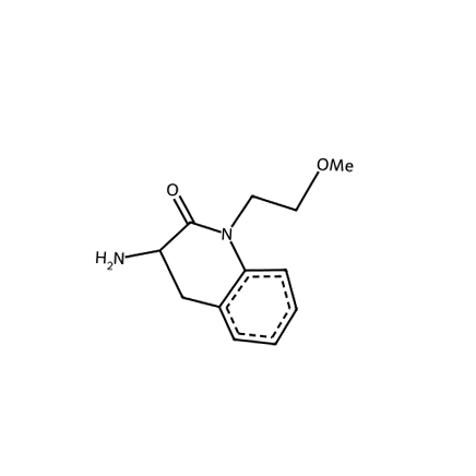 COCCN1C(=O)C(N)Cc2ccccc21